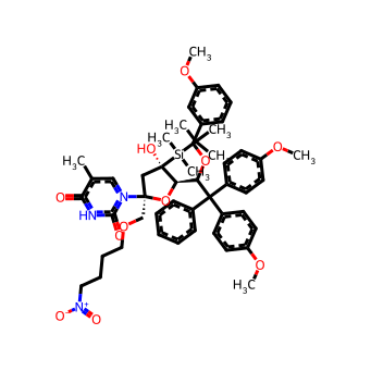 COc1ccc(C(c2ccccc2)(c2ccc(OC)cc2)C(OCc2cccc(OC)c2)[C@H]2O[C@@](COCCCC[N+](=O)[O-])(n3cc(C)c(=O)[nH]c3=O)C[C@@]2(O)[Si](C)(C)C(C)(C)C)cc1